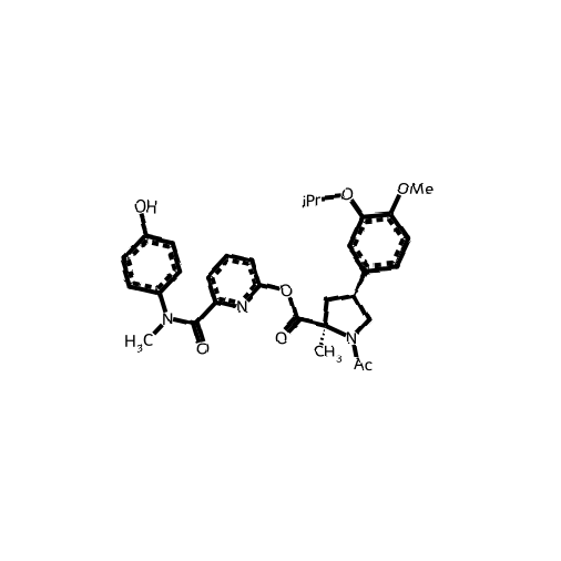 COc1ccc([C@H]2CN(C(C)=O)[C@@](C)(C(=O)Oc3cccc(C(=O)N(C)c4ccc(O)cc4)n3)C2)cc1OC(C)C